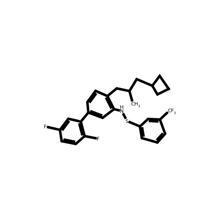 CC(Cc1ccc(-c2cc(F)ccc2F)cc1NSc1cccc(C(F)(F)F)c1)CC1CCC1